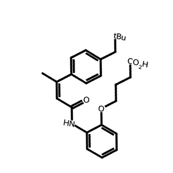 CC(=CC(=O)Nc1ccccc1OCCCC(=O)O)c1ccc(CC(C)(C)C)cc1